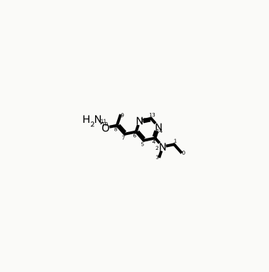 CCN(C)c1cc(/C=C(\C)ON)ncn1